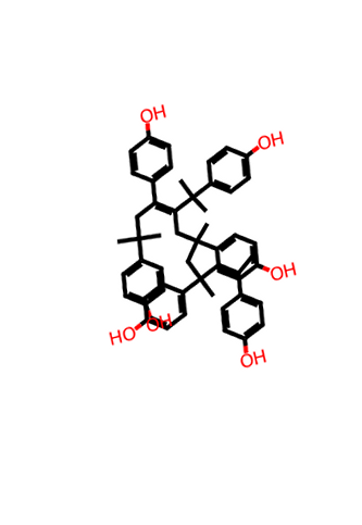 CC(=CC(C)(CC(C)(CC(=C(CC(C)(C)c1ccc(O)cc1)c1ccc(O)cc1)C(C)(C)c1ccc(O)cc1)c1ccc(O)cc1)c1ccc(O)cc1)c1ccc(O)cc1